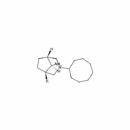 N[C@@H]1[C@@H]2CC[C@H]1CN(C1CCCCCCC1)C2